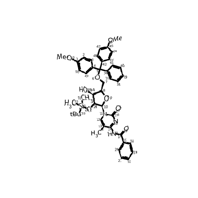 COc1ccc(C(OC[C@H]2O[C@@H](n3cc(C)c(NC(=O)c4ccccc4)nc3=O)C(O[Si](C)(C)C(C)(C)C)[C@H]2O)(c2ccccc2)c2ccc(OC)cc2)cc1